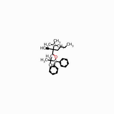 C#CC(CCCC)(CO[Si](c1ccccc1)(c1ccccc1)C(C)(C)C)[Si](C)(C)C